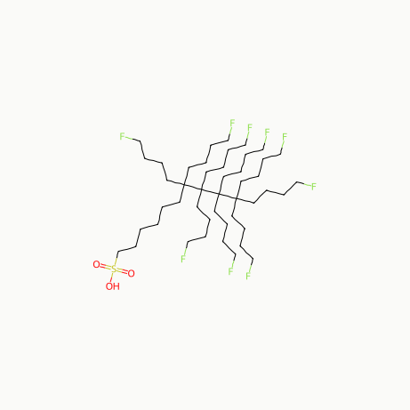 O=S(=O)(O)CCCCCCC(CCCCF)(CCCCF)C(CCCCF)(CCCCF)C(CCCCF)(CCCCF)C(CCCCF)(CCCCF)CCCCF